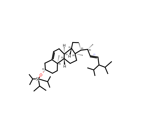 CC(C)C(/C=C/[C@@H](C)[C@H]1CC[C@H]2[C@@H]3CC=C4C[C@@H](O[Si](C(C)C)(C(C)C)C(C)C)CC[C@]4(C)[C@H]3CC[C@]12C)C(C)C